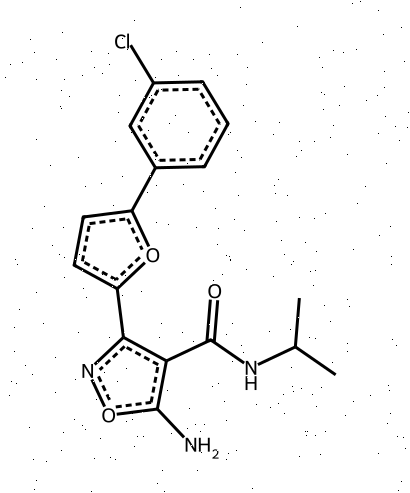 CC(C)NC(=O)c1c(-c2ccc(-c3cccc(Cl)c3)o2)noc1N